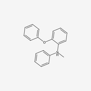 C[SiH](c1ccccc1)c1ccccc1Oc1ccccc1